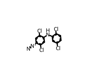 N#[N+]c1cc(Cl)c(Nc2cc(Cl)ccc2Cl)cc1Cl